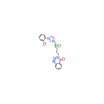 COc1ccccc1N1CCN(CCCCCn2nnc3ccccc3c2=O)C1.Cl